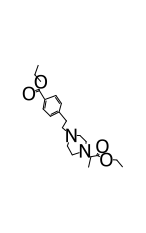 CCOC(=O)c1ccc(CCN2CCN(C(C)C(=O)OCC)CC2)cc1